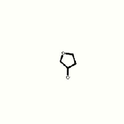 [O]C1CCOC1